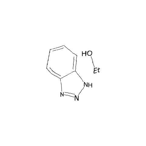 CCO.c1ccc2[nH]nnc2c1